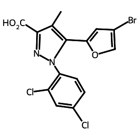 Cc1c(C(=O)O)nn(-c2ccc(Cl)cc2Cl)c1-c1cc(Br)co1